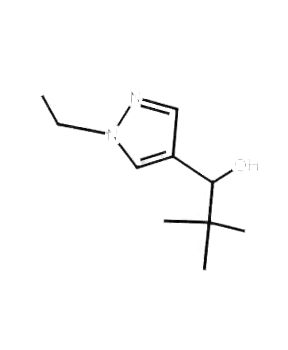 CCn1cc(C(O)C(C)(C)C)cn1